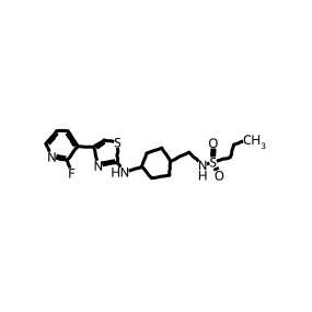 CCCS(=O)(=O)NCC1CCC(Nc2nc(-c3cccnc3F)cs2)CC1